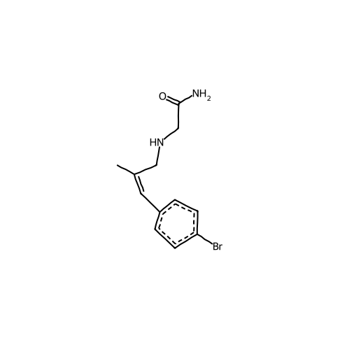 CC(=Cc1ccc(Br)cc1)CNCC(N)=O